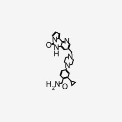 NC(=O)c1ccc(N2CCN(Cc3cnc4c(c3)[nH]c(=O)n3cccc43)CC2)cc1C1CC1